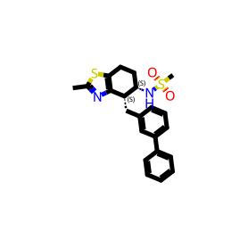 Cc1nc2c(s1)CC[C@H](NS(C)(=O)=O)[C@@H]2Cc1cccc(-c2ccccc2)c1